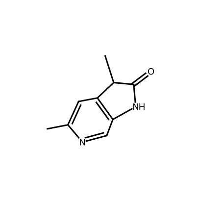 Cc1cc2c(cn1)NC(=O)C2C